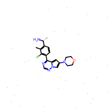 Cc1c([C@@H](C)N)ccc(-c2ncnn3cc(N4CCOCC4)cc23)c1F